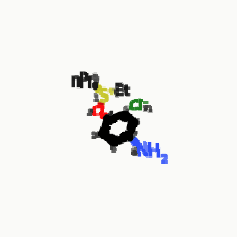 CCC[S+](CC)Oc1ccc(N)cc1.[Cl-]